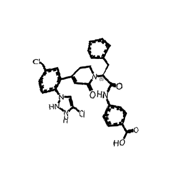 O=C(O)c1ccc(NC(=O)[C@H](Cc2ccccc2)N2CCC(c3cc(Cl)ccc3N3C=C(Cl)NN3)=CC2=O)cc1